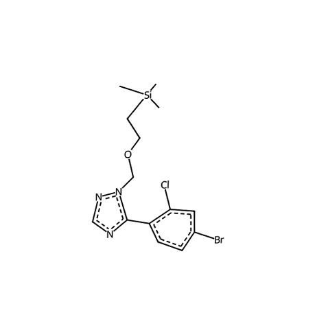 C[Si](C)(C)CCOCn1ncnc1-c1ccc(Br)cc1Cl